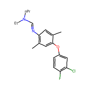 CCCN(C=Nc1cc(C)c(Oc2ccc(F)c(Cl)c2)cc1C)CC